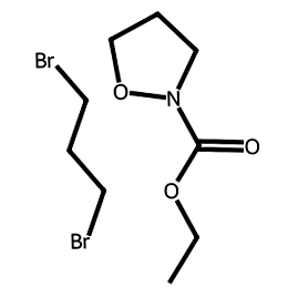 BrCCCBr.CCOC(=O)N1CCCO1